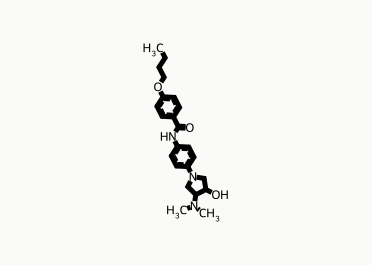 CCCCOc1ccc(C(=O)Nc2ccc(N3CC(O)C(N(C)C)C3)cc2)cc1